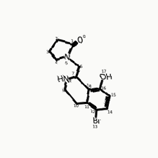 O=C1CCCN1CC1NCCc2c(Br)ccc(O)c21